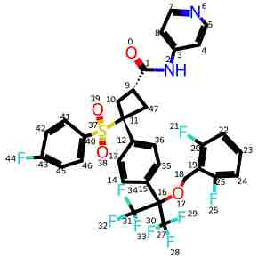 O=C(Nc1ccncc1)[C@H]1C[C@@](c2ccc(C(OCc3c(F)cccc3F)(C(F)(F)F)C(F)(F)F)cc2)(S(=O)(=O)c2ccc(F)cc2)C1